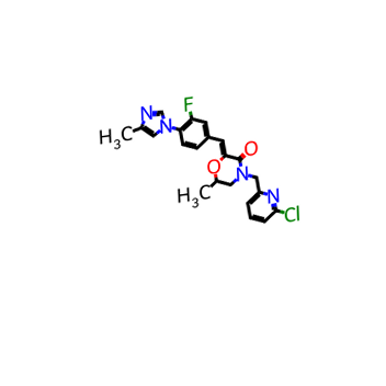 Cc1cn(-c2ccc(C=C3OC(C)CN(Cc4cccc(Cl)n4)C3=O)cc2F)cn1